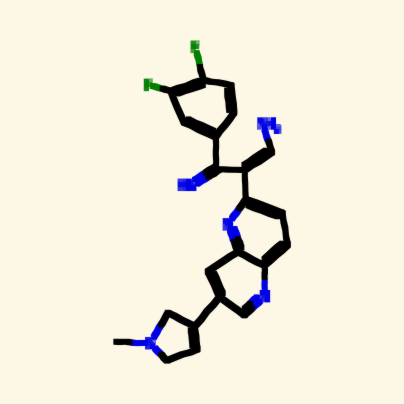 CN1CC=C(c2cnc3ccc(/C(=C/N)C(=N)c4ccc(F)c(F)c4)nc3c2)C1